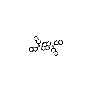 c1ccc2cc(B(c3ccc4ccccc4c3)c3ccc4ccc5c(B(c6ccc7ccccc7c6)c6ccc7ccccc7c6)ccc6ccc3c4c65)ccc2c1